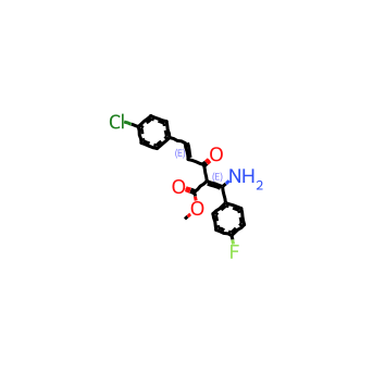 COC(=O)/C(C(=O)/C=C/c1ccc(Cl)cc1)=C(/N)c1ccc(F)cc1